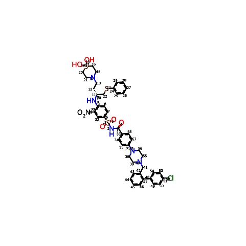 O=C(NS(=O)(=O)c1ccc(N[C@H](CCN2CCS(O)(O)CC2)CSc2ccccc2)c([N+](=O)[O-])c1)c1ccc(N2CCN(Cc3ccccc3-c3ccc(Cl)cc3)CC2)cc1